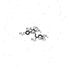 C=C(C)/C=C\C(C)C(C)CCNC(C)C(=C)N(C)Cc1ccc(C)cc1